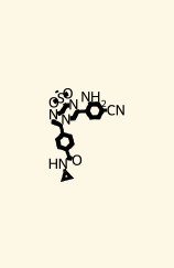 CS(=O)(=O)c1nc(-c2ccc(C#N)cc2N)cn2c(-c3ccc(C(=O)NC4CC4)cc3)cnc12